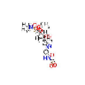 CCC(=O)O[C@]1(C(=O)SC(=O)N(C)C)CCC2[C@@H]3CCC4=Cc5c(cnn5-c5cccc(C(=O)NC6CCS(=O)(=O)C6)c5)C[C@]4(C)C3[C@@H](O)C[C@@]21C